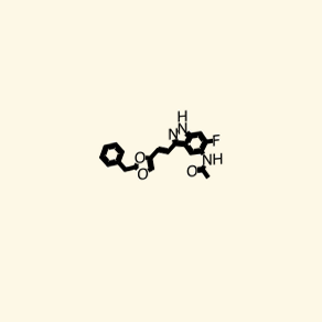 CC(=O)Nc1cc2c(C=CC3=COC(Cc4ccccc4)O3)n[nH]c2cc1F